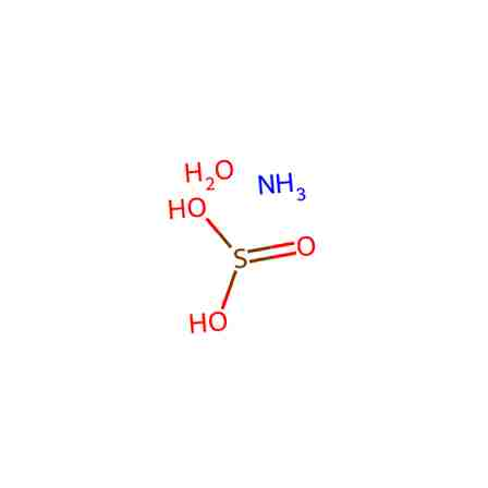 N.O.O=S(O)O